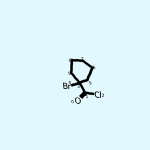 O=C(Cl)C1(Br)CCCCC1